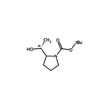 C[C@@H](O)C1CCCN1C(=O)OC(C)(C)C